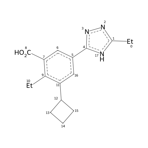 CCc1nnc(-c2cc(C(=O)O)c(CC)c(C3CCC3)c2)[nH]1